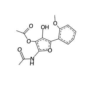 COc1ccccc1-c1oc(NC(C)=O)c(OC(C)=O)c1O